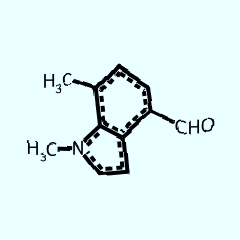 Cc1ccc(C=O)c2ccn(C)c12